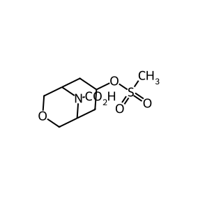 CS(=O)(=O)OC1CC2COCC(C1)N2C(=O)O